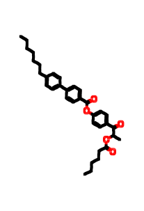 CCCCCCCc1ccc(-c2ccc(C(=O)Oc3ccc(C(=O)C(C)OC(=O)CCCCC)cc3)cc2)cc1